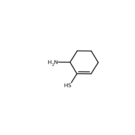 NC1CCCC=C1S